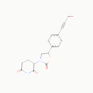 O=C1CCC(N2CC(c3ccc(C#CCO)cc3)OC2=O)C(=O)N1